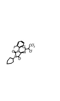 O=C1/C(=N/C(Cl)C(Cl)C(Cl)(Cl)Cl)N(c2ccccc2F)C(=O)N1C1CCCCC1